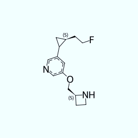 FCC[C@@H]1CC1c1cncc(OC[C@@H]2CCN2)c1